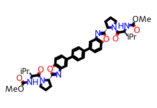 COC(=O)N[C@H](C(=O)N1CCC[C@H]1c1nc2cc(-c3ccc(-c4ccc5oc([C@@H]6CCCN6C(=O)[C@@H](NC(=O)OC)C(C)C)nc5c4)cc3)ccc2o1)C(C)C